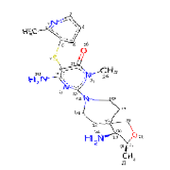 Cc1ncccc1Sc1c(N)nc(N2CCC3(CC2)CO[C@@H](C)[C@H]3N)n(C)c1=O